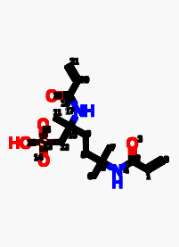 C=CC(=O)NC(C)(C)CCC(C)(CS(=O)(=O)O)NC(=O)C=C